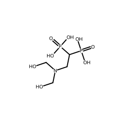 O=P(O)(O)C(CN(CO)CO)P(=O)(O)O